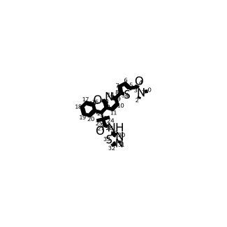 CN(C)C(=O)c1ccc(-c2ccc3c(n2)Oc2ccccc2[C@@H]3C(C)(C)C(=O)Nc2nncs2)s1